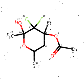 CCC(C)C(=O)OC1(CC)CC(C(F)(F)F)OC(O)(C(F)(F)F)C1(F)F